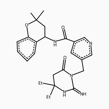 CCC1(CC)CC(=O)N(Cc2cncc(C(=O)NC3CC(C)(C)Oc4ccccc43)c2)C(=N)N1